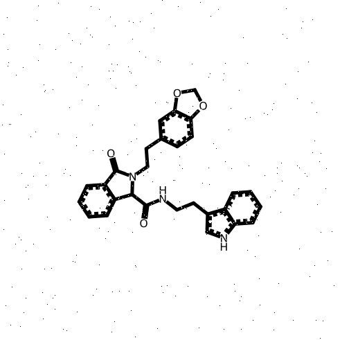 O=C(NCCc1c[nH]c2ccccc12)C1c2ccccc2C(=O)N1CCc1ccc2c(c1)OCO2